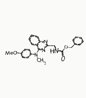 COc1ccc(N(C)c2nc(CNC(=O)OCc3ccccc3)nc3ccccc23)cc1